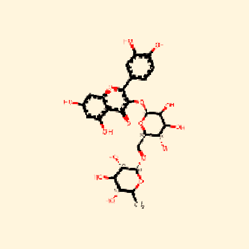 CC1O[C@@H](OC[C@H]2O[C@@H](Oc3c(-c4ccc(O)c(O)c4)oc4cc(O)cc(O)c4c3=O)C(O)C(O)[C@@H]2O)[C@@H](O)C(O)[C@H]1O